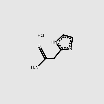 Cl.NC(=O)Cc1ncc[nH]1